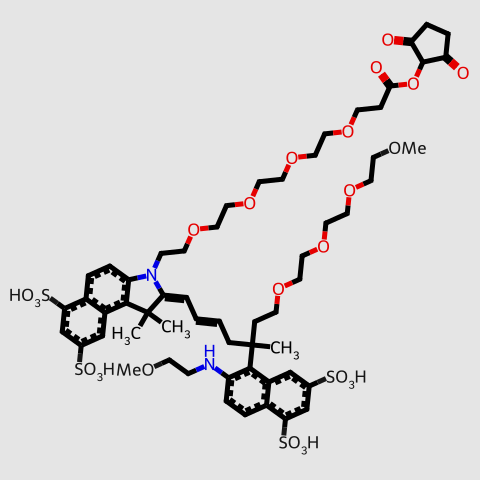 COCCNc1ccc2c(S(=O)(=O)O)cc(S(=O)(=O)O)cc2c1C(C)(C/C=C/C=C1/N(CCOCCOCCOCCOCCC(=O)OC2C(=O)CCC2=O)c2ccc3c(S(=O)(=O)O)cc(S(=O)(=O)O)cc3c2C1(C)C)CCOCCOCCOCCOC